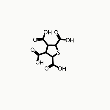 O=C(O)C1SC(C(=O)O)C(C(=O)O)C1C(=O)O